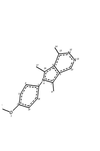 CCOc1ccc(-n2c(C)c3cnnc(C)c3c2C)cc1